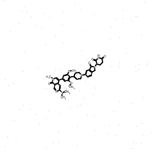 COc1cc(-c2cn(C)c(=O)c3cnc(N(C)C)cc23)cc(OC)c1C1CCN(c2ccc3c(c2)C(=O)N(C2CCC(=O)NC2=O)C3)CC1